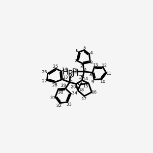 PC(c1ccccc1)(c1ccccc1)C1C2CCC(C2)C1C(P)(c1ccccc1)c1ccccc1